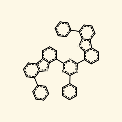 c1ccc(-c2nc(-c3cccc4c3oc3c(-c5ccccc5)cccc34)nc(-c3cccc4c3sc3c(-c5ccccc5)cccc34)n2)cc1